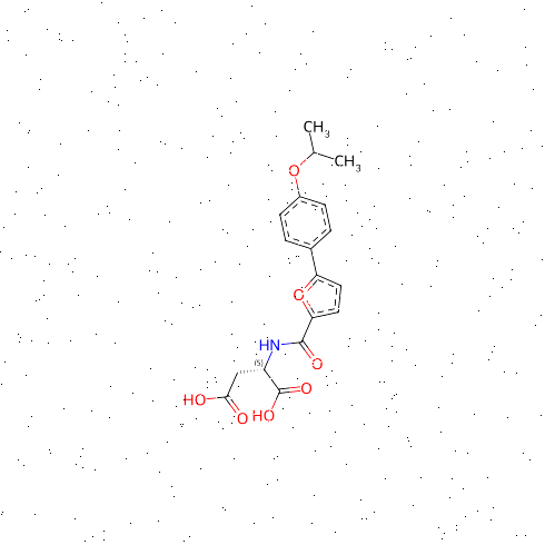 CC(C)Oc1ccc(-c2ccc(C(=O)N[C@@H](CC(=O)O)C(=O)O)o2)cc1